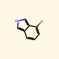 Brc1cccc2c[nH]cc12